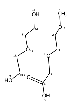 COCCOCC(=O)O.OCCOCCO